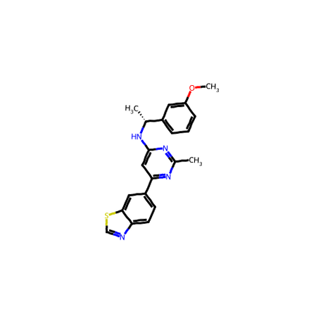 COc1cccc([C@@H](C)Nc2cc(-c3ccc4ncsc4c3)nc(C)n2)c1